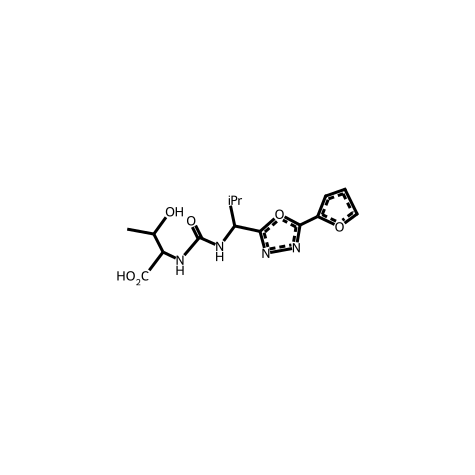 CC(C)C(NC(=O)NC(C(=O)O)C(C)O)c1nnc(-c2ccco2)o1